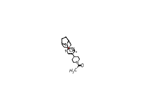 CC(=O)N1CCC(c2cnc(N3C4CCC3CN(C)C4)nc2)CC1